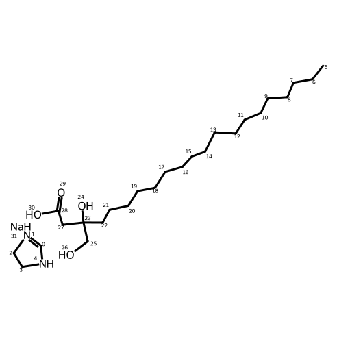 C1=NCCN1.CCCCCCCCCCCCCCCCCCC(O)(CO)CC(=O)O.[NaH]